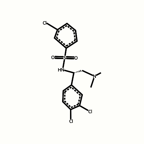 CN(C)C[C@@H](NS(=O)(=O)c1cccc(Cl)c1)c1ccc(Cl)c(Cl)c1